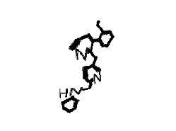 CCc1ccccc1-c1cccnc1Cc1ccc(CNc2ccccc2)nc1